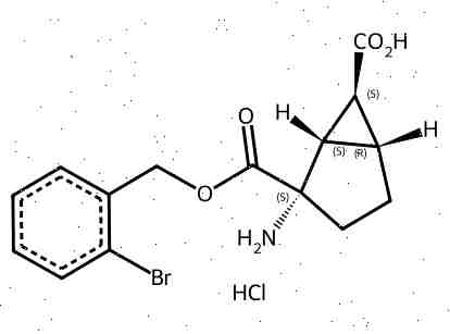 Cl.N[C@@]1(C(=O)OCc2ccccc2Br)CC[C@H]2[C@H](C(=O)O)[C@H]21